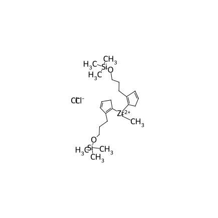 C[CH]=[Zr+2]([C]1=C(CCCO[Si](C)(C)C)C=CC1)[C]1=C(CCCO[Si](C)(C)C)C=CC1.[Cl-].[Cl-]